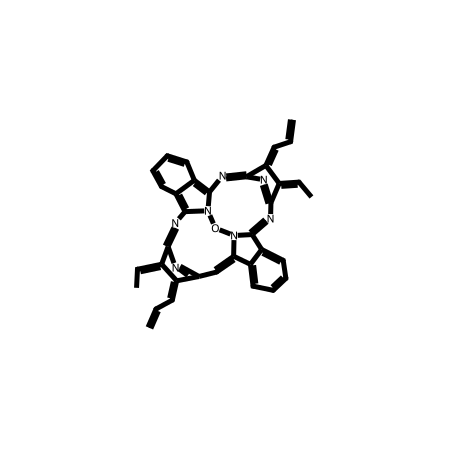 C=C/C=C1\C(=C\C)C2=N\C1=N/c1c3ccccc3c3n1On1/c(c4ccccc4/c1=N/2)=C\C1=NC(=N\3)/C(=C/C)C/1=C\C=C